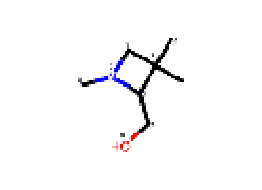 CN1CC(C)(C)C1CO